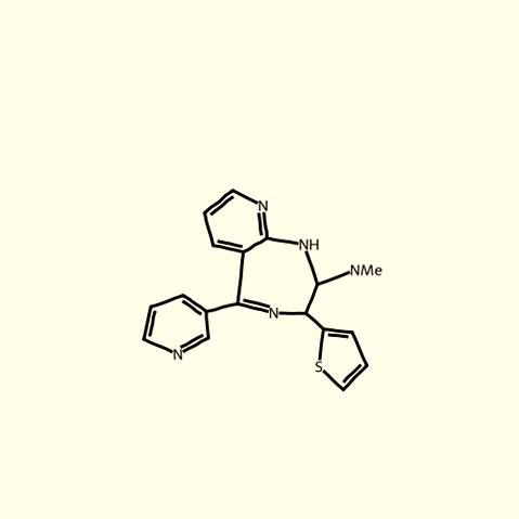 CNC1Nc2ncccc2C(c2cccnc2)=NC1c1cccs1